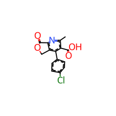 Cc1nc2c(c(-c3ccc(Cl)cc3)c1C(=O)O)COC2=O